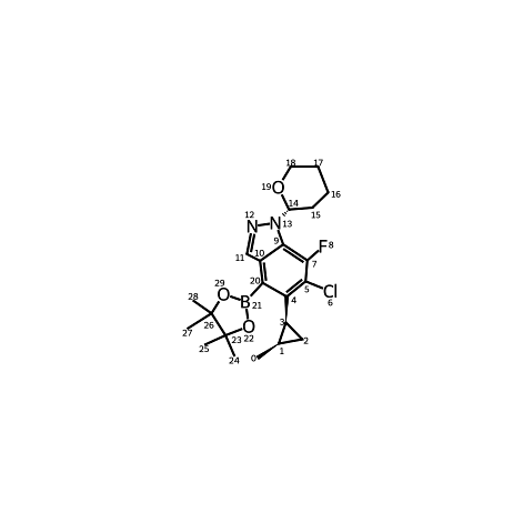 C[C@@H]1C[C@@H]1c1c(Cl)c(F)c2c(cnn2[C@H]2CCCCO2)c1B1OC(C)(C)C(C)(C)O1